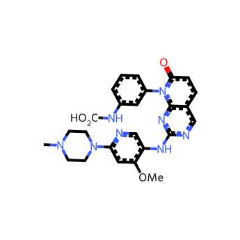 COc1cc(N2CCN(C)CC2)ncc1Nc1ncc2ccc(=O)n(-c3cccc(NC(=O)O)c3)c2n1